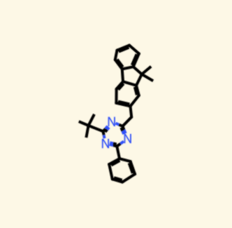 CC(C)(C)c1nc(Cc2ccc3c(c2)C(C)(C)c2ccccc2-3)nc(-c2ccccc2)n1